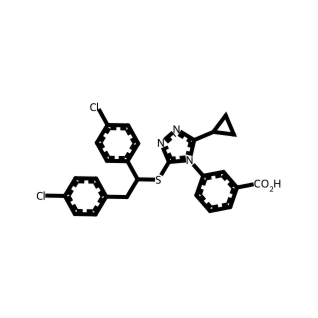 O=C(O)c1cccc(-n2c(SC(Cc3ccc(Cl)cc3)c3ccc(Cl)cc3)nnc2C2CC2)c1